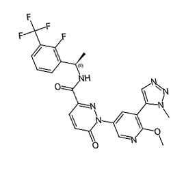 COc1ncc(-n2nc(C(=O)N[C@H](C)c3cccc(C(F)(F)F)c3F)ccc2=O)cc1-c1cnnn1C